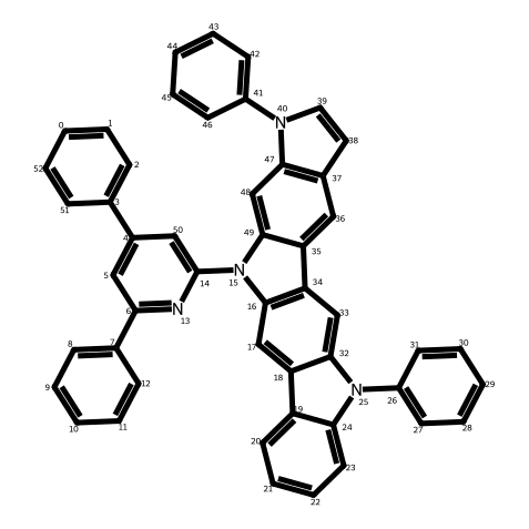 c1ccc(-c2cc(-c3ccccc3)nc(-n3c4cc5c6ccccc6n(-c6ccccc6)c5cc4c4cc5ccn(-c6ccccc6)c5cc43)c2)cc1